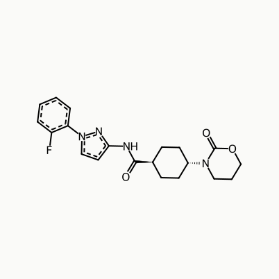 O=C1OCCCN1[C@H]1CC[C@H](C(=O)Nc2ccn(-c3ccccc3F)n2)CC1